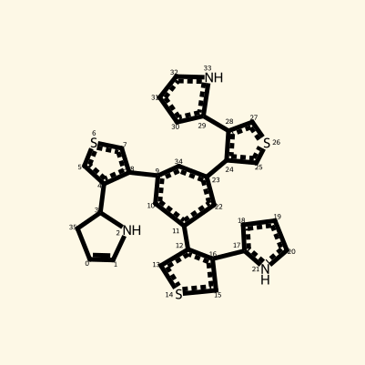 C1=CNC(c2cscc2-c2cc(-c3cscc3-c3ccc[nH]3)cc(-c3cscc3-c3ccc[nH]3)c2)C1